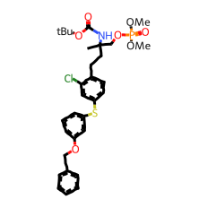 COP(=O)(OC)OCC(C)(CCc1ccc(Sc2cccc(OCc3ccccc3)c2)cc1Cl)NC(=O)OC(C)(C)C